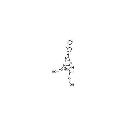 CC(C)(c1ccc(-c2ccccc2)c(F)c1)c1cc(/N=C(\NCCOCCO)NC(=N)NCCOCCO)on1